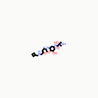 N[C@H]1C[C@@H](NC(=O)C2(O)CNC2)C[C@@H](O)[C@@H]1O[C@@H]1CCC=C(CNCC2CCC2)O1